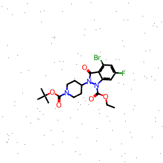 CCOC(=O)n1c2cc(F)cc(Br)c2c(=O)n1C1CCN(C(=O)OC(C)(C)C)CC1